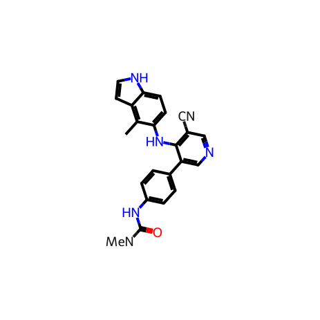 CNC(=O)Nc1ccc(-c2cncc(C#N)c2Nc2ccc3[nH]ccc3c2C)cc1